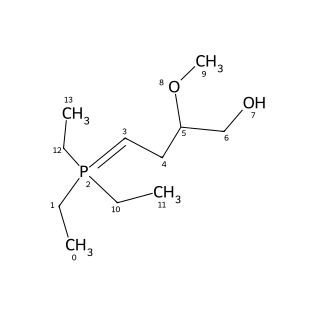 CCP(=CCC(CO)OC)(CC)CC